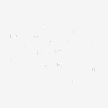 C=CC(=O)NCC(C)OCC(C)OCC(C)OCC(C)OCC(C)OCC(C)OCC(C)OCC(C)OCC(C)O